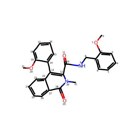 COc1ccccc1CNC(=O)c1c(-c2ccccc2OC)c2ccccc2c(=O)n1C